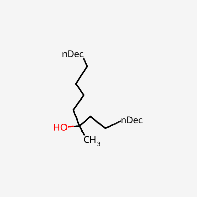 CCCCCCCCCCCCCCC(C)(O)CCCCCCCCCCCC